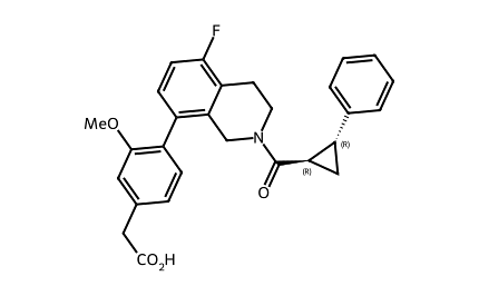 COc1cc(CC(=O)O)ccc1-c1ccc(F)c2c1CN(C(=O)[C@@H]1C[C@H]1c1ccccc1)CC2